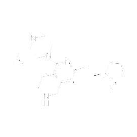 CN1CCC[C@@H]1COc1nc2c(c(N3CCN(C)[C@@H](CC#N)C3)n1)CCNC2